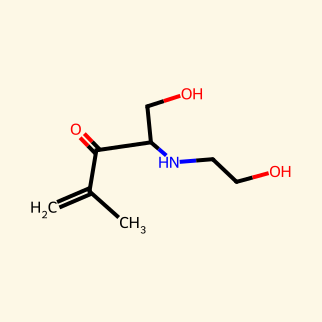 C=C(C)C(=O)C(CO)NCCO